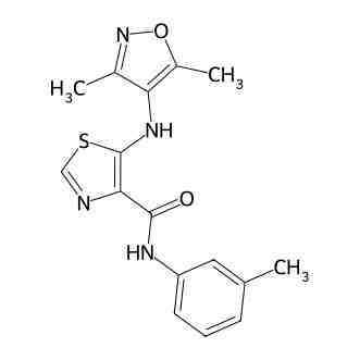 Cc1cccc(NC(=O)c2ncsc2Nc2c(C)noc2C)c1